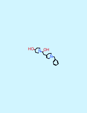 OC1CCN(C(O)CC2=CCN(Cc3ccccc3)CC2)CC1